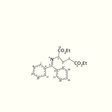 CCOC(=O)CCC(N=C(c1ccccc1)c1ccccc1)C(=O)OCC